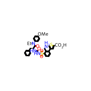 CCN(C(=O)[C@H](Cc1ccccc1)NC(=O)NS(=O)(=O)c1cccc(-c2csc(C(=O)O)c2)c1CN)c1ccc(OC)cc1